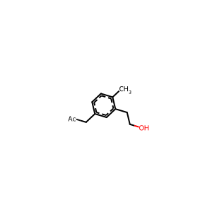 CC(=O)Cc1ccc(C)c(CCO)c1